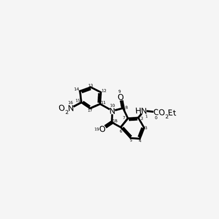 CCOC(=O)Nc1cccc2c1C(=O)N(c1cccc([N+](=O)[O-])c1)C2=O